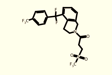 O=C(CCS(=O)(=O)C(F)(F)F)N1CCc2c(cccc2C(F)(F)c2ccc(C(F)(F)F)cc2)C1